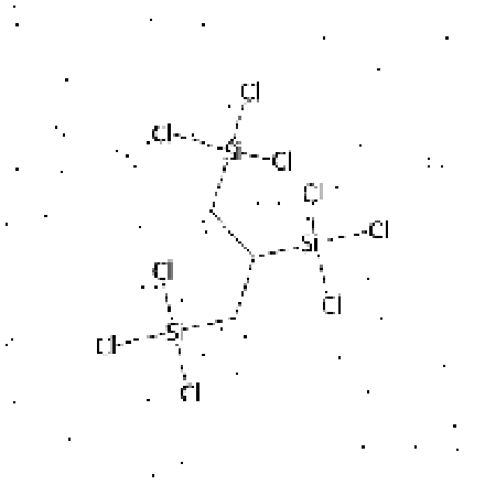 Cl[Si](Cl)(Cl)CC(C[Si](Cl)(Cl)Cl)[Si](Cl)(Cl)Cl